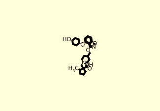 CC1CCCC1(CN1CCC(COc2noc3cccc(O[C@H]4CC[C@@H](O)CC4)c23)CC1)C(=O)O